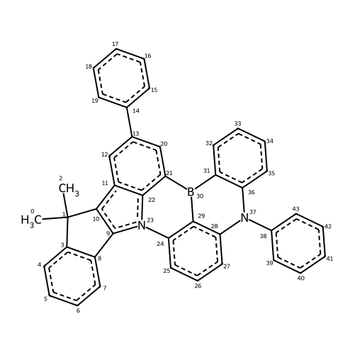 CC1(C)c2ccccc2-c2c1c1cc(-c3ccccc3)cc3c1n2-c1cccc2c1B3c1ccccc1N2c1ccccc1